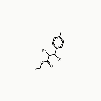 CCOC(=O)C(Br)C(Br)c1ccc(C)cc1